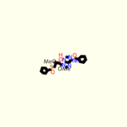 CO/C(CSC(=O)c1ccccc1)=C(\O)[C@H](OC)n1cnc2c(NC(=O)c3ccccc3)ncnc21